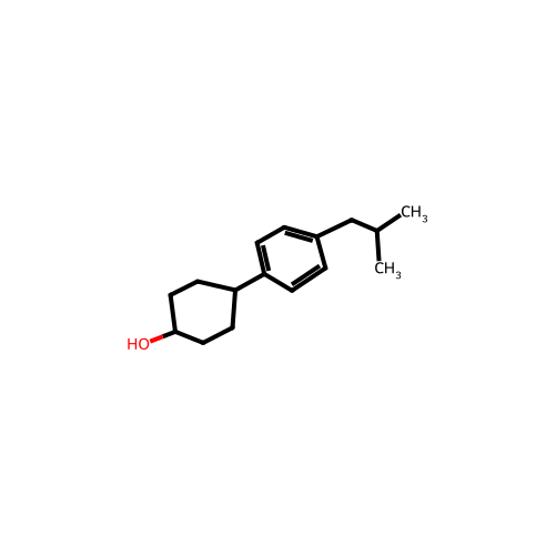 CC(C)Cc1ccc(C2CCC(O)CC2)cc1